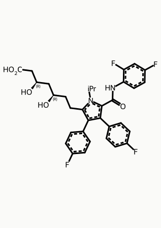 CC(C)n1c(CC[C@@H](O)C[C@@H](O)CC(=O)O)c(-c2ccc(F)cc2)c(-c2ccc(F)cc2)c1C(=O)Nc1ccc(F)cc1F